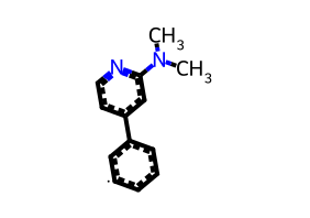 CN(C)c1cc(-c2c[c]ccc2)ccn1